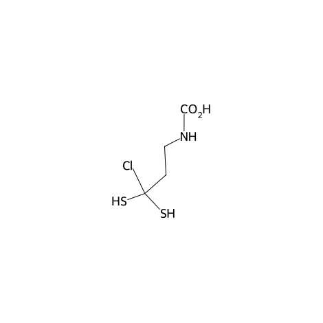 O=C(O)NCCC(S)(S)Cl